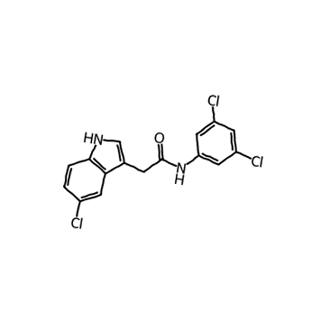 O=C(Cc1c[nH]c2ccc(Cl)cc12)Nc1cc(Cl)cc(Cl)c1